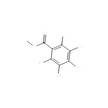 CCCc1c(O)c(O)c(C(=O)OCl)c(CCC)c1CCC